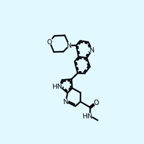 CNC(=O)C1C=Nc2[nH]cc(-c3ccc4nccc(N5CCOCC5)c4c3)c2C1